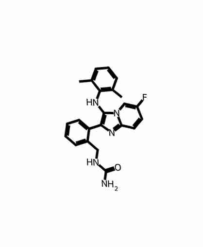 Cc1cccc(C)c1Nc1c(-c2ccccc2CNC(N)=O)nc2ccc(F)cn12